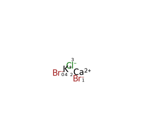 [Br-].[Br-].[Ca+2].[Cl-].[K+]